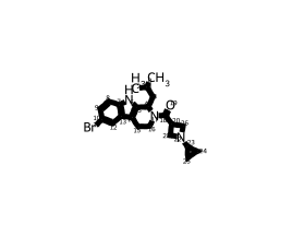 CC(C)CC1c2[nH]c3ccc(Br)cc3c2CCN1C(=O)C1CN(C2CC2)C1